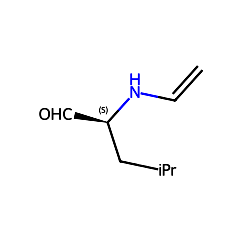 C=CN[C@H](C=O)CC(C)C